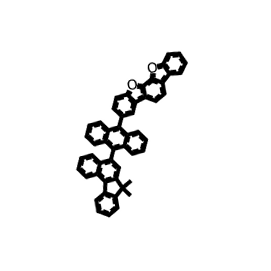 CC1(C)c2ccccc2-c2c1cc(-c1c3ccccc3c(-c3ccc4oc5c(ccc6c7ccccc7oc65)c4c3)c3ccccc13)c1ccccc21